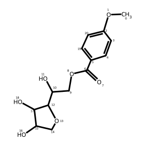 COc1ccc(C(=O)OCC(O)C2OCC(O)C2O)cc1